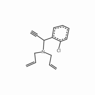 C#CC(c1ccccc1Cl)N(CC=C)CC=C